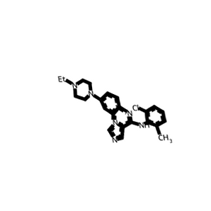 CCN1CCN(c2ccc3nc(Nc4c(C)cccc4Cl)c4cncn4c3c2)CC1